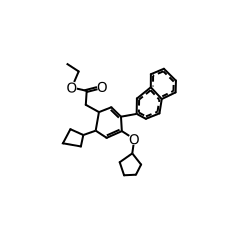 CCOC(=O)CC1C=C(c2ccc3ccccc3c2)C(OC2CCCC2)=CC1C1CCC1